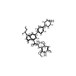 CC[C@H](C)n1cc(C)c2c(C(=O)NCC3=C(OC)NC(C)=CC3O)cc(-c3ccc(N4CCNCC4)nc3)cc21